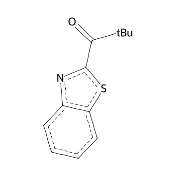 CC(C)(C)C(=O)c1nc2ccccc2s1